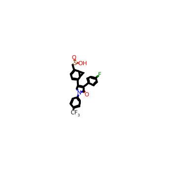 O=C1C(c2ccc(F)cc2)=C(C2=CC=C(CS(=O)O)C3CC23)CN1c1ccc(C(F)(F)F)cc1